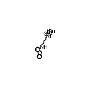 CC(C)(C)S(=O)(=O)NCCCCCNC1=CC=CC2c3ccccc3CC12